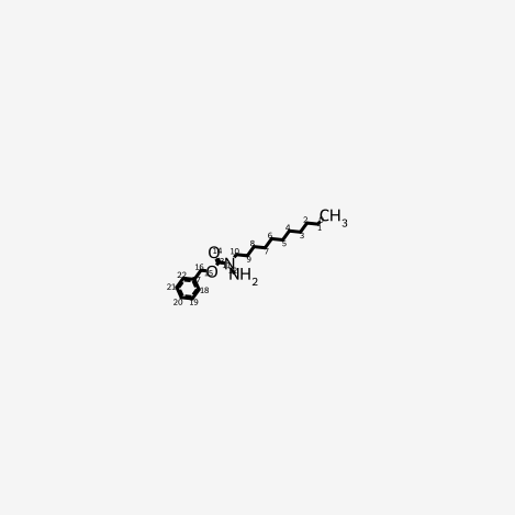 CCCCCCCCCCCN(N)C(=O)OCc1ccccc1